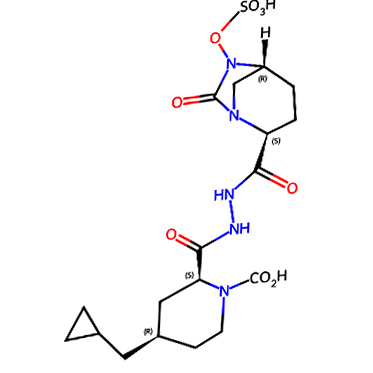 O=C(NNC(=O)[C@@H]1CC[C@@H]2CN1C(=O)N2OS(=O)(=O)O)[C@@H]1C[C@H](CC2CC2)CCN1C(=O)O